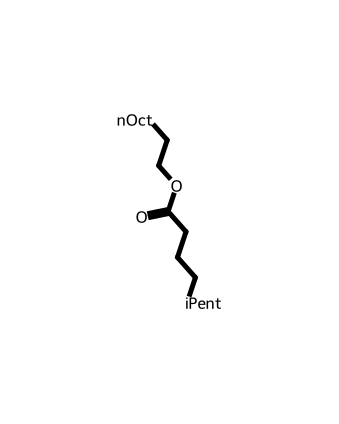 CCCCCCCCCCOC(=O)CCCC(C)CCC